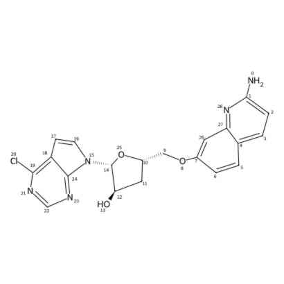 Nc1ccc2ccc(OC[C@@H]3C[C@@H](O)[C@H](n4ccc5c(Cl)ncnc54)O3)cc2n1